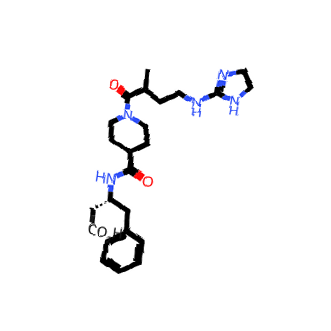 CC(CCNC1=NCCN1)C(=O)N1CCC(C(=O)N[C@@H](CC(=O)O)Cc2ccccc2)CC1